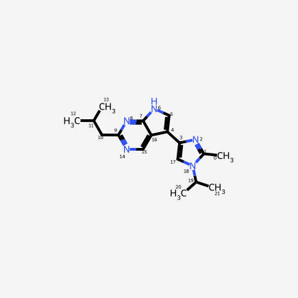 Cc1nc(-c2c[nH]c3nc(CC(C)C)ncc23)cn1C(C)C